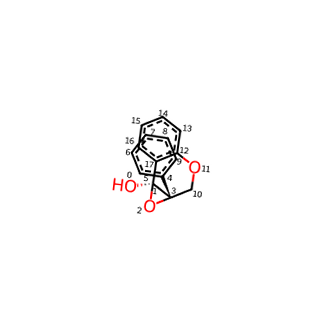 O[C@@]12O[C@@]1(c1ccccc1)COc1ccccc12